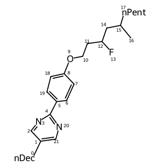 CCCCCCCCCCc1cnc(-c2ccc(OCCC(F)CC(C)CCCCC)cc2)nc1